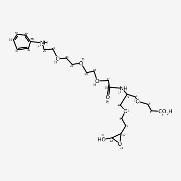 O=C(O)CCOCC(COCCC1OC1O)NC(=O)COCCOCCOCCNc1ccccc1